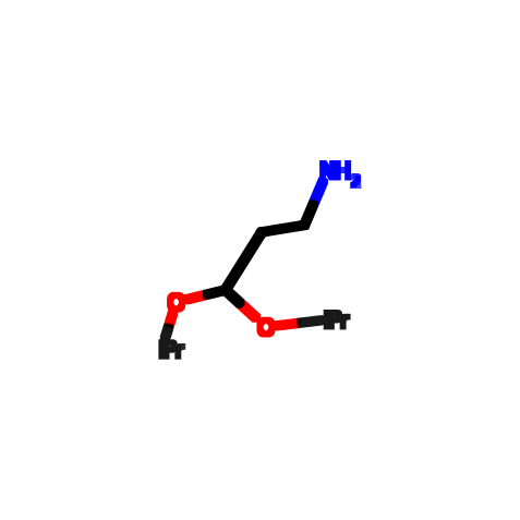 CC(C)OC(CCN)OC(C)C